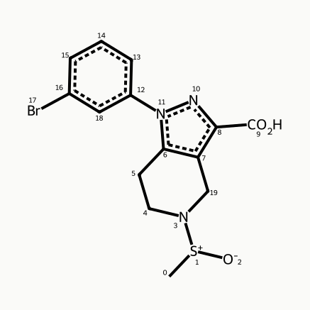 C[S+]([O-])N1CCc2c(c(C(=O)O)nn2-c2cccc(Br)c2)C1